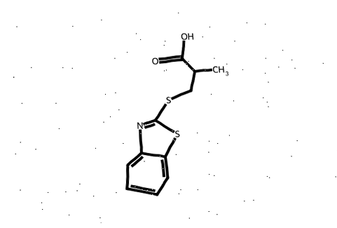 CC(CSc1nc2ccccc2s1)C(=O)O